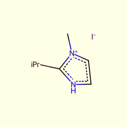 CC(C)c1[nH]cc[n+]1C.[I-]